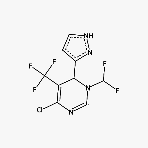 FC(F)N1[C]=NC(Cl)=C(C(F)(F)F)C1c1cc[nH]n1